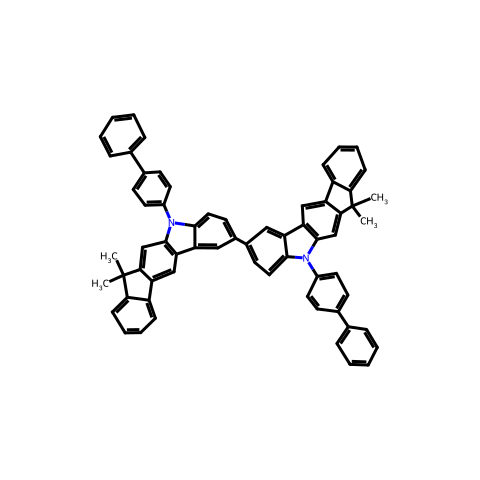 CC1(C)c2ccccc2-c2cc3c4cc(-c5ccc6c(c5)c5cc7c(cc5n6-c5ccc(-c6ccccc6)cc5)C(C)(C)c5ccccc5-7)ccc4n(-c4ccc(-c5ccccc5)cc4)c3cc21